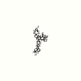 CCN1CCC(Oc2nc(N3CCC4(CC3)CN(C(=O)OC(C)(C)C)C4)c3cc(Cl)c(Br)c(F)c3n2)CC1